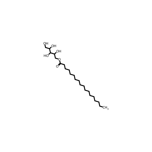 CCCCCCCCCCCCCCCCCC(=O)OCC(O)C(O)C(O)CO